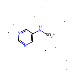 O=S(=O)(O)Nc1cncnc1